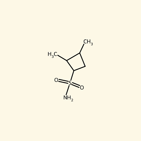 CC1CC(S(N)(=O)=O)C1C